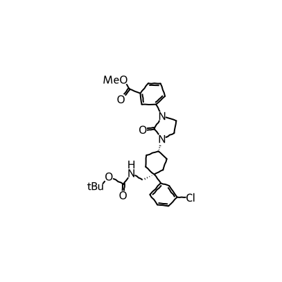 COC(=O)c1cccc(N2CCN([C@H]3CC[C@](CNC(=O)OC(C)(C)C)(c4cccc(Cl)c4)CC3)C2=O)c1